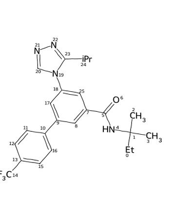 CCC(C)(C)NC(=O)c1cc(-c2ccc(C(F)(F)F)cc2)cc(-n2cnnc2C(C)C)c1